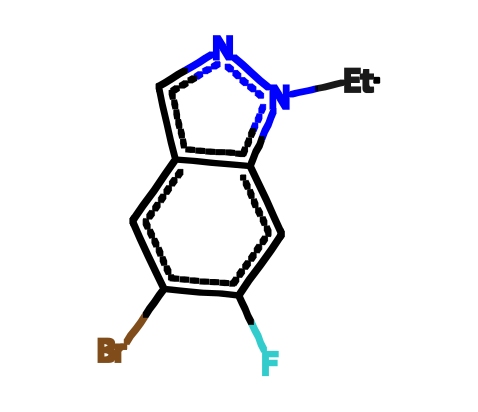 C[CH]n1ncc2cc(Br)c(F)cc21